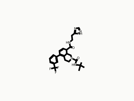 CC(C)(C)NC(=O)N1CCC2=C(c3cccc(C(F)(F)F)c3)C=CC(C(=O)NCCc3ncn[nH]3)C2C1